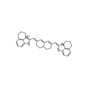 C1=C(/C=C2\Sc3cccc4c3N2CCC4)CCC2CC/C(=C\c3sc4cccc5c4[n+]3CCC5)C=C12